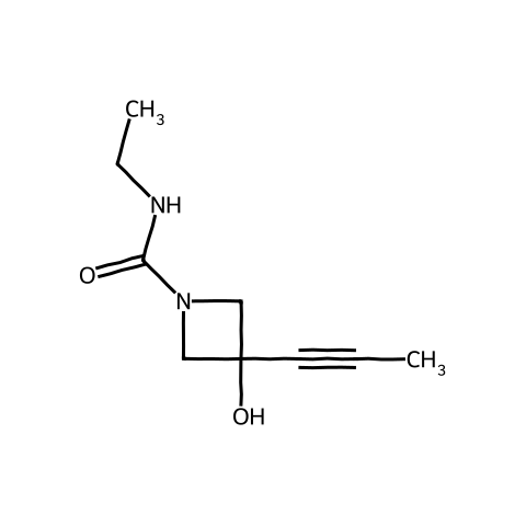 CC#CC1(O)CN(C(=O)NCC)C1